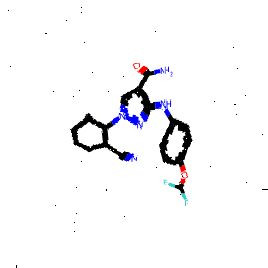 N#CC1CCCCC1n1cc(C(N)=O)c(Nc2ccc(OC(F)F)cc2)n1